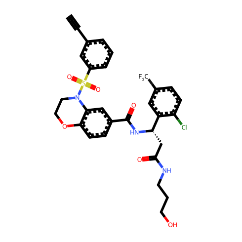 C#Cc1cccc(S(=O)(=O)N2CCOc3ccc(C(=O)N[C@@H](CC(=O)NCCCO)c4cc(C(F)(F)F)ccc4Cl)cc32)c1